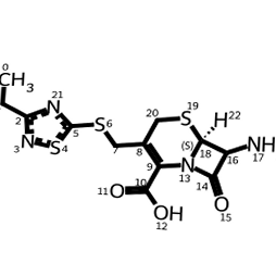 CCc1nsc(SCC2=C(C(=O)O)N3C(=O)C(N)[C@@H]3SC2)n1